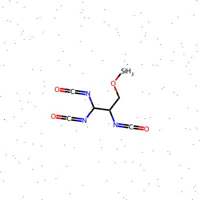 O=C=NC(CO[SiH3])C(N=C=O)N=C=O